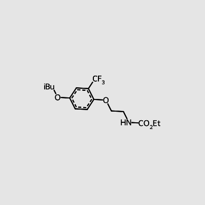 CCOC(=O)NCCOc1ccc(OC(C)CC)cc1C(F)(F)F